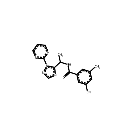 Cc1cc(C#N)cc(C(=O)NC(C)c2ncnn2-c2ncccn2)c1